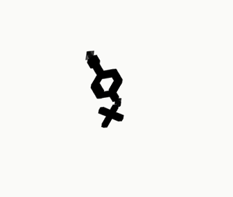 CC(C)(C)Sc1ccc(C#N)cc1